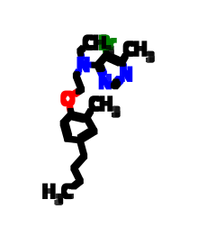 CCCCc1ccc(OCCN(CC)c2ncnc(C)c2Br)c(C)c1